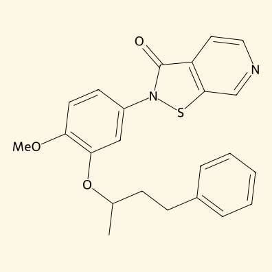 COc1ccc(-n2sc3cnccc3c2=O)cc1OC(C)CCc1ccccc1